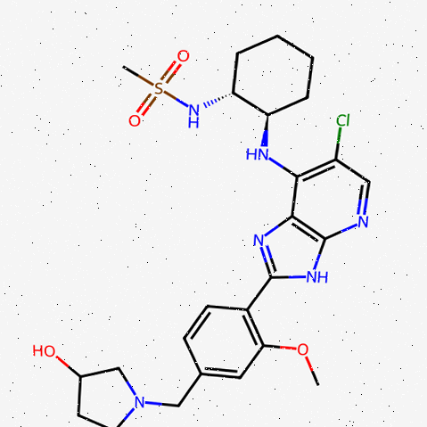 COc1cc(CN2CCC(O)C2)ccc1-c1nc2c(N[C@@H]3CCCC[C@H]3NS(C)(=O)=O)c(Cl)cnc2[nH]1